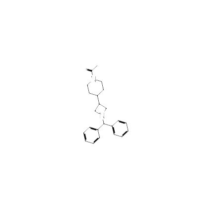 CC(=O)N1CCC(C2CN(C(c3ccccc3)c3ccccc3)C2)CC1